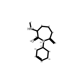 C=C1CCCC(NC)C(=O)N1C1CC=CCC1